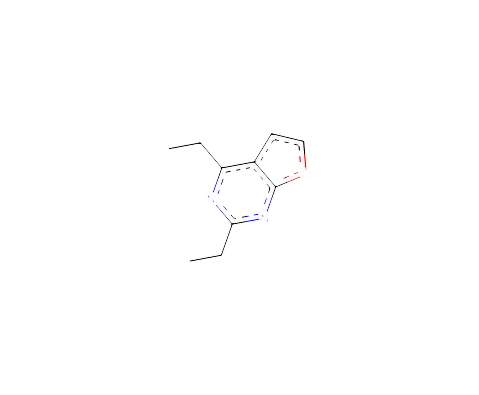 CCc1nc(CC)c2ccoc2n1